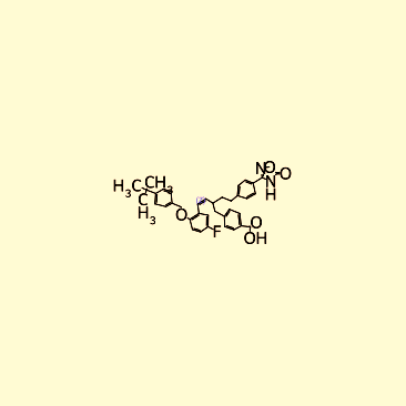 CC(C)(C)c1ccc(COc2ccc(F)cc2/C=C\C(CCc2ccc(-c3noc(=O)[nH]3)cc2)Cc2ccc(C(=O)O)cc2)cc1